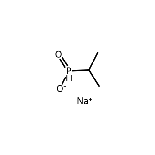 CC(C)[PH](=O)[O-].[Na+]